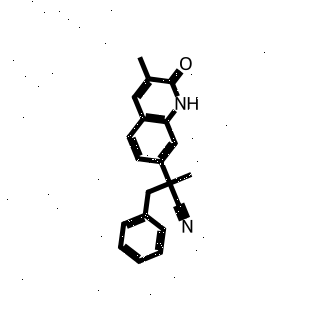 Cc1cc2ccc(C(C)(C#N)Cc3ccccc3)cc2[nH]c1=O